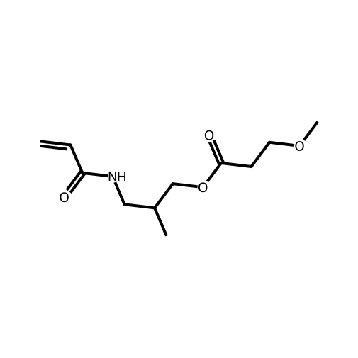 C=CC(=O)NCC(C)COC(=O)CCOC